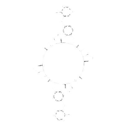 Cc1ncncc1Cc1ccc(C[C@H]2OC(=O)[C@H](CC(C)C)N(C)C(=O)[C@@H](C)OC(=O)[C@H](CC(C)C)N(C)C(=O)[C@@H](Cc3ccc(Cc4cncnc4C)cc3)OC(=O)[C@H](CC(C)C)N(C)C(=O)[C@@H](C)OC(=O)[C@H](CC(C)C)N(C)C2=O)cc1